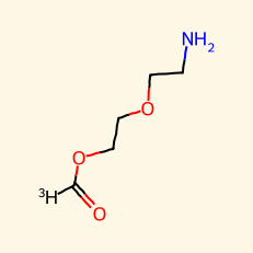 [3H]C(=O)OCCOCCN